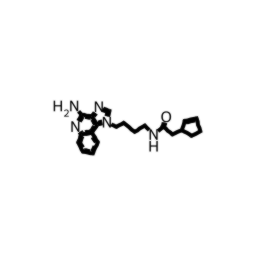 Nc1nc2ccccc2c2c1ncn2CCCCNC(=O)CC1C=CCC1